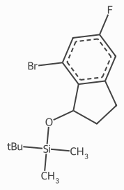 CC(C)(C)[Si](C)(C)OC1CCc2cc(F)cc(Br)c21